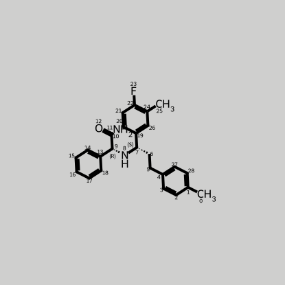 Cc1ccc(CC[C@H](N[C@@H](C(N)=O)c2ccccc2)c2ccc(F)c(C)c2)cc1